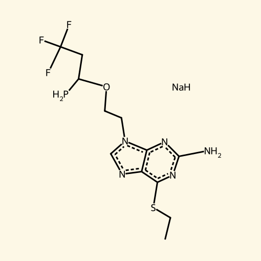 CCSc1nc(N)nc2c1ncn2CCOC(P)CC(F)(F)F.[NaH]